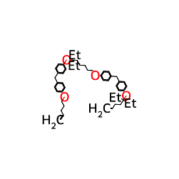 C=CCCCOc1ccc(Cc2ccc(OC(CC)(CC)CCCCCOc3ccc(Cc4ccc(OC(CC)(CC)CCC=C)cc4)cc3)cc2)cc1